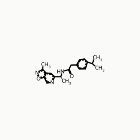 Cc1noc2cnc([C@@H](C)NC(=O)Cc3ccc(C(C)C)cc3)cc12